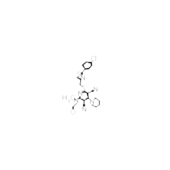 CN(CC=O)c1nc(SCc2csc(-c3ccc(Cl)cc3)n2)c(C#N)c(N2CCCCC2)c1C#N